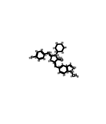 Cn1ncc2cc(C=C3SC(=Nc4ccc(F)cc4)N(C4CCCCC4)C3=O)ccc21